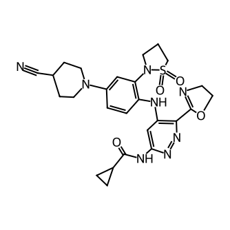 N#CC1CCN(c2ccc(Nc3cc(NC(=O)C4CC4)nnc3C3=NCCO3)c(N3CCCS3(=O)=O)c2)CC1